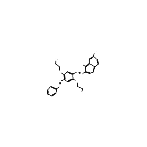 Nc1ccc2ccc(N=Nc3cc(OCCO)c(N=Nc4ccccc4)cc3OCCO)c(O)c2c1